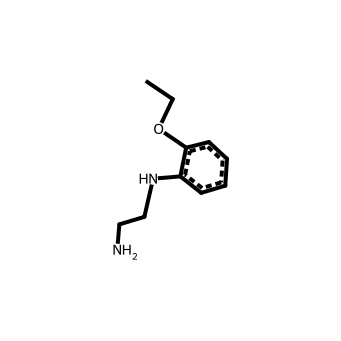 CCOc1ccccc1NCCN